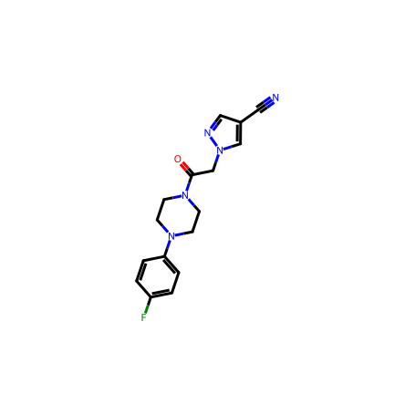 N#Cc1cnn(CC(=O)N2CCN(c3ccc(F)cc3)CC2)c1